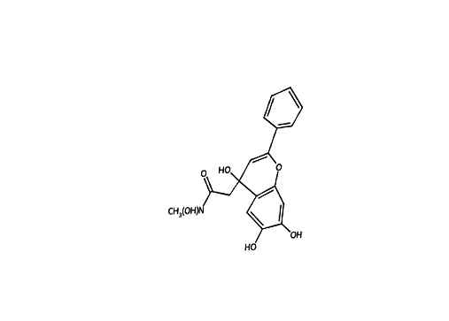 CN(O)C(=O)CC1(O)C=C(c2ccccc2)Oc2cc(O)c(O)cc21